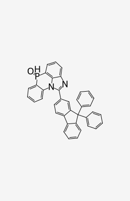 O=[PH]1c2ccccc2-n2c(-c3ccc4c(c3)C(c3ccccc3)(c3ccccc3)c3ccccc3-4)nc3cccc1c32